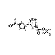 CC(=O)n1ccc([C@@H](CO)CNC(=O)OC(C)(C)C)n1